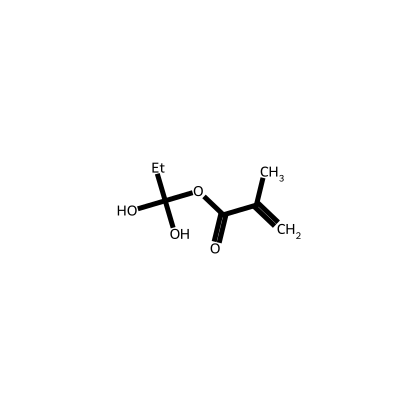 C=C(C)C(=O)OC(O)(O)CC